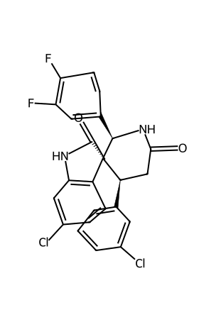 O=C1C[C@@H](c2cccc(Cl)c2)[C@]2(C(=O)Nc3cc(Cl)ccc32)[C@@H](c2ccc(F)c(F)c2)N1